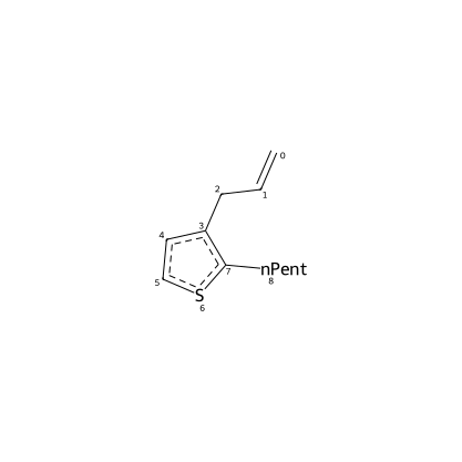 C=CCc1ccsc1CCCCC